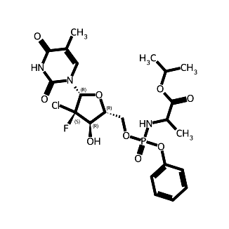 Cc1cn([C@@H]2O[C@H](COP(=O)(NC(C)C(=O)OC(C)C)Oc3ccccc3)[C@@H](O)[C@]2(F)Cl)c(=O)[nH]c1=O